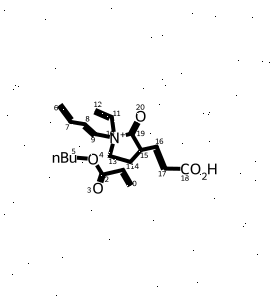 C=CC(=O)OCCCC.C=CC=C[N+]1(C=C)CCC(C=CC(=O)O)C1=O